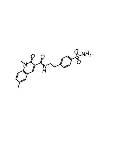 Cc1ccc2c(c1)cc(C(=O)NCCc1ccc(S(N)(=O)=O)cc1)c(=O)n2C